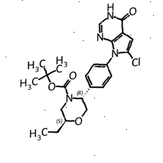 CC[C@H]1CN(C(=O)OC(C)(C)C)[C@H](c2ccc(-n3c(Cl)cc4c(=O)[nH]cnc43)cc2)CO1